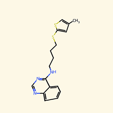 Cc1csc(SCCCCNc2ncnc3ccccc23)c1